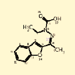 CCN(/N=C(/C)c1cc2ccccc2o1)C(=O)O